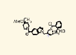 COC1(C)CCN(C(=O)c2ccc3c(ccn3C/C(=C/F)CN(C)C(=O)c3ccccc3C=O)c2)CC1